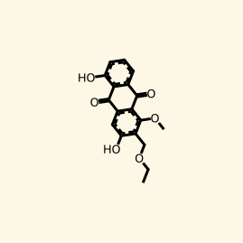 CCOCc1c(O)cc2c(c1OC)C(=O)c1cccc(O)c1C2=O